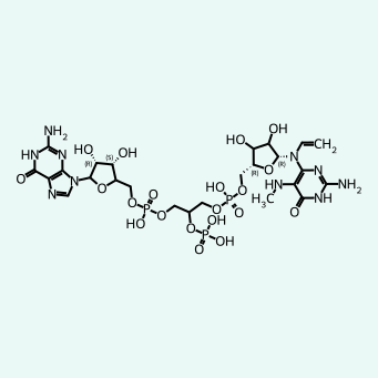 C=CN(c1nc(N)[nH]c(=O)c1NC)[C@@H]1O[C@H](COP(=O)(O)OCC(COP(=O)(O)OCC2OC(n3cnc4c(=O)[nH]c(N)nc43)[C@H](O)[C@@H]2O)OP(=O)(O)O)C(O)C1O